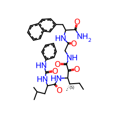 CC[C@H](C)C(NC(=O)C(CC(C)C)NC(=O)Nc1ccccc1)C(=O)C(=O)NCC(=O)NC(Cc1ccc2ccccc2c1)C(N)=O